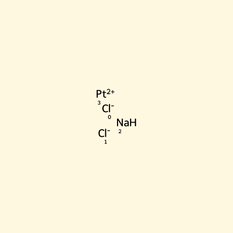 [Cl-].[Cl-].[NaH].[Pt+2]